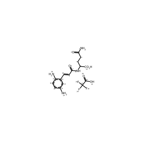 NC(=O)CCC(NC(=O)/C=C/c1cc(N)ccc1N)C(=O)O.O=C(O)C(F)(F)F